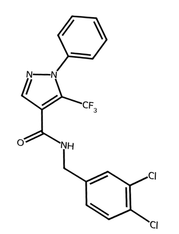 O=C(NCc1ccc(Cl)c(Cl)c1)c1cnn(-c2ccccc2)c1C(F)(F)F